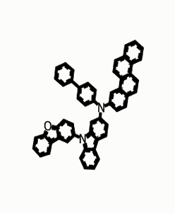 c1ccc(-c2ccc(N(c3ccc4ccc5c6ccccc6ccc5c4c3)c3ccc4c5ccccc5n(-c5ccc6oc7ccccc7c6c5)c4c3)cc2)cc1